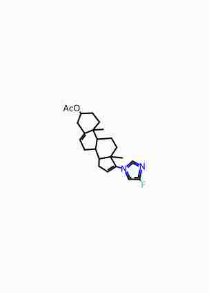 CC(=O)OC1CCC2(C)C(=CCC3C2CCC2(C)C(n4cnc(F)c4)=CCC32)C1